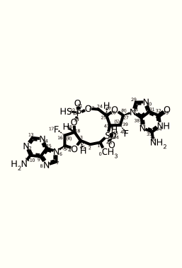 CC1C[C@H]2O[C@@H](n3cnc4c(N)ncnc43)[C@H](F)[C@@H]2O[P@@](=O)(S)OC[C@H]2O[C@@H](n3cnc4c(=O)[nH]c(N)nc43)[C@H](F)[C@@H]2S1(=O)=O